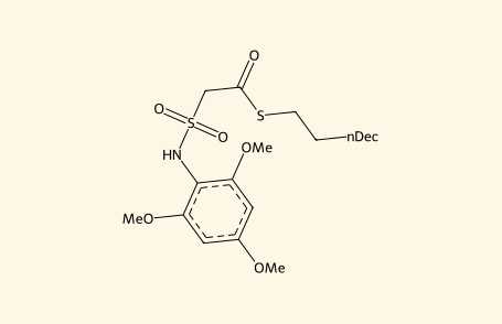 CCCCCCCCCCCCSC(=O)CS(=O)(=O)Nc1c(OC)cc(OC)cc1OC